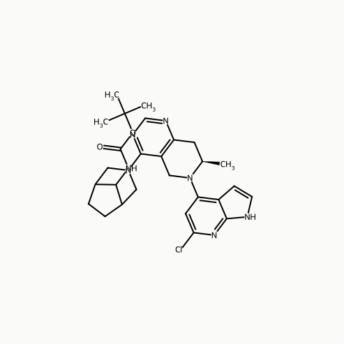 C[C@@H]1Cc2ncnc(N3CC4CCC(C3)C4NC(=O)OC(C)(C)C)c2CN1c1cc(Cl)nc2[nH]ccc12